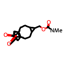 CNC(=O)OCC1C2CCC3=C(CCC21)C1C(=O)C(=O)C3CC1C